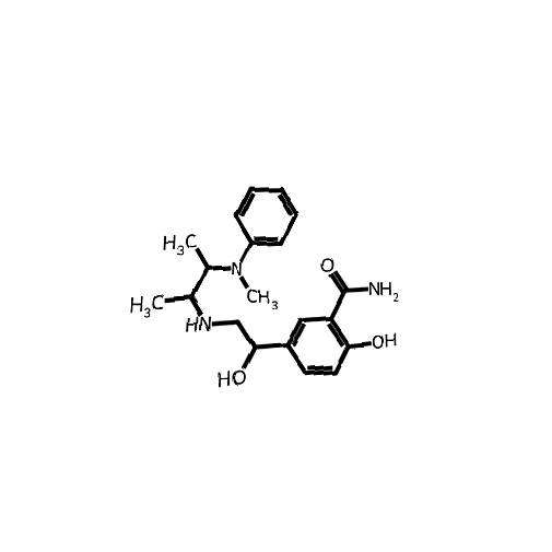 CC(NCC(O)c1ccc(O)c(C(N)=O)c1)C(C)N(C)c1ccccc1